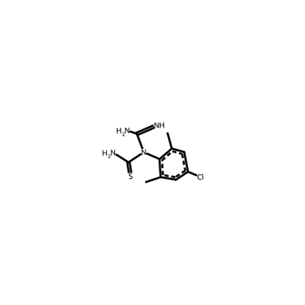 Cc1cc(Cl)cc(C)c1N(C(=N)N)C(N)=S